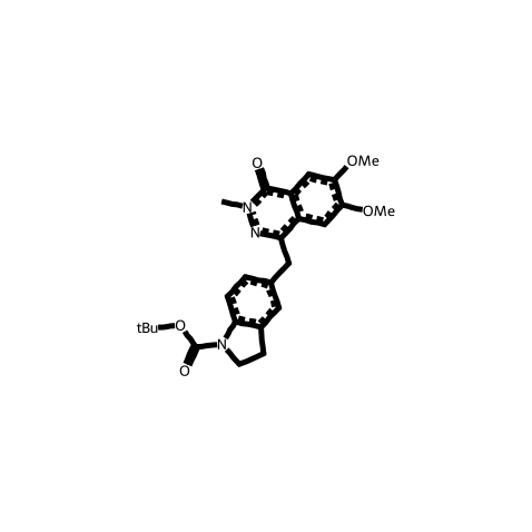 COc1cc2c(Cc3ccc4c(c3)CCN4C(=O)OC(C)(C)C)nn(C)c(=O)c2cc1OC